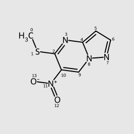 CSc1nc2ccnn2cc1[N+](=O)[O-]